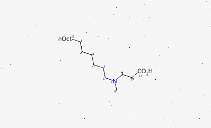 CCCCCCCCCCCCCCN(C)CCC(=O)O